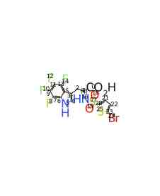 O=C(O)[C@@H](Cc1c[nH]c2c(F)c(F)c(F)c(F)c12)NS(=O)(=O)c1ccc(Br)s1